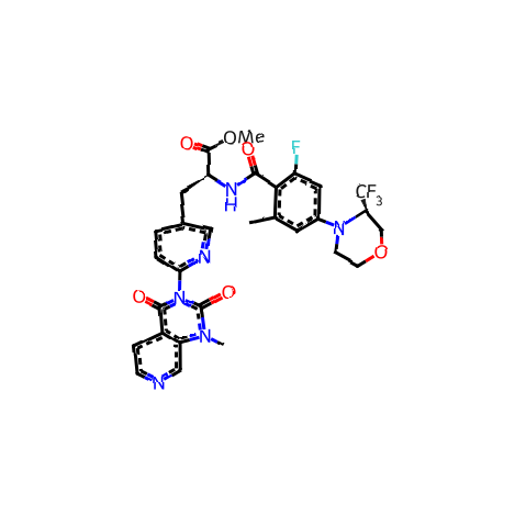 COC(=O)[C@H](Cc1ccc(-n2c(=O)c3ccncc3n(C)c2=O)nc1)NC(=O)c1c(C)cc(N2CCOC[C@@H]2C(F)(F)F)cc1F